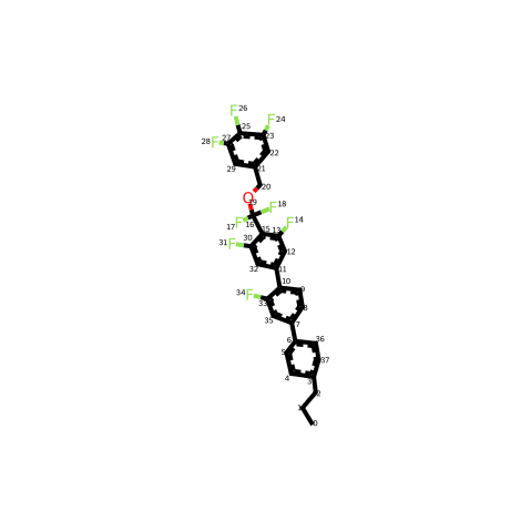 CCCc1ccc(-c2ccc(-c3cc(F)c(C(F)(F)OCc4cc(F)c(F)c(F)c4)c(F)c3)c(F)c2)cc1